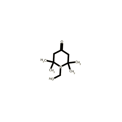 CC1(C)CC(=O)CC(C)(C)N1CO